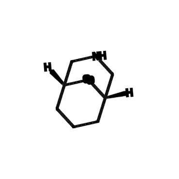 C1C[C@@H]2CNC[C@H](C1)C21OCCO1